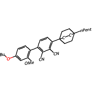 CCCCCC12CCC(c3ccc(-c4ccc(OCCCC)cc4OC)c(C#N)c3C#N)(CC1)CC2